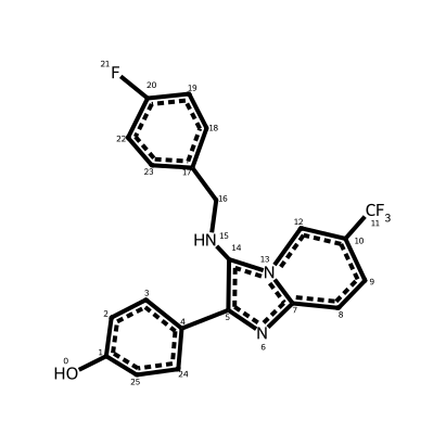 Oc1ccc(-c2nc3ccc(C(F)(F)F)cn3c2NCc2ccc(F)cc2)cc1